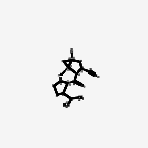 CC(C)C1CCN[C@@H]1C(=O)N1[C@H](C#N)C[C@@H]2C[C@@H]21